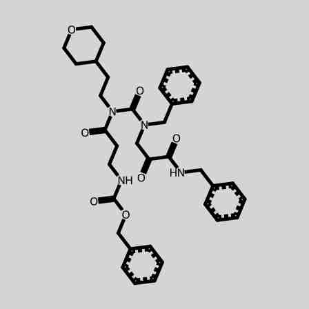 O=C(NCCC(=O)N(CCC1CCOCC1)C(=O)N(CC(=O)C(=O)NCc1ccccc1)Cc1ccccc1)OCc1ccccc1